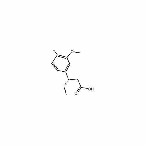 CC[C@@H](CC(=O)O)c1ccc(C)c(OC)c1